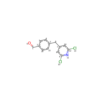 O=Cc1ccc(Cc2cc(Cl)nc(Cl)c2)cc1